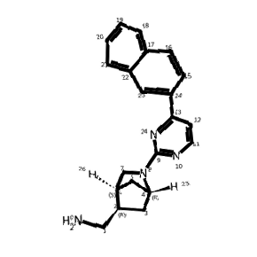 NC[C@@H]1C[C@@H]2C[C@@H]1CN2c1nccc(-c2ccc3ccccc3c2)n1